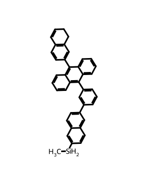 C[SiH2]c1ccc2cc(-c3cccc(-c4c5ccccc5c(-c5ccc6c(c5)CCC=C6)c5ccccc45)c3)ccc2c1